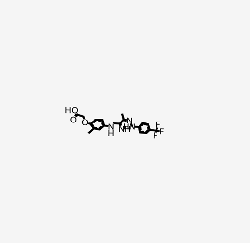 C/C(=N/Nc1ccc(C(F)(F)F)cc1)C(=N)CNc1ccc(OCC(=O)O)c(C)c1